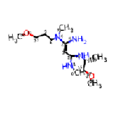 CNC(/C=C(\N)N(C)CCCOC)N[C@H](C)COC